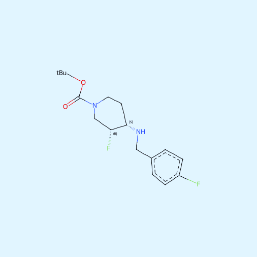 CC(C)(C)OC(=O)N1CC[C@H](NCc2ccc(F)cc2)[C@H](F)C1